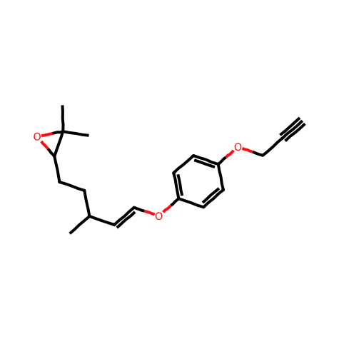 C#CCOc1ccc(OC=CC(C)CCC2OC2(C)C)cc1